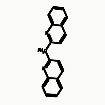 P.c1ccc2nc(Oc3ccc4ccccc4n3)ccc2c1